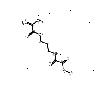 C=C(C)C(=O)OCCCNC(=O)C(=O)NC(C)CC